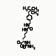 CC(C)(C)Cc1ccc(CNC(=O)NCCCC[C@H](NC(N)=O)C(=O)O)cc1